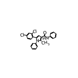 Cc1c(C(=O)Nc2ccccc2)cc(-c2ccc(Cl)cc2Cl)n1-c1ccccc1